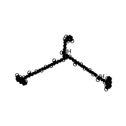 O=C(CCCOCCOCCOCCOCCC(=O)CCCCOc1cc(OCCCCC(=O)CCOCCOCCOCCOCCNC(=O)CCCOc2c3occc3cc3ccc(=O)oc23)cc(C(=O)NCCCCCC(=O)ON2C(=O)CCC2=O)c1)CCCOc1c2occc2cc2ccc(=O)oc12